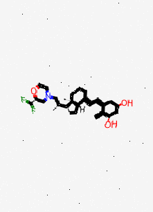 C=C1/C(=C\C=C2/CCC[C@]3(C)[C@@H]([C@H](C)CN4CCO[C@@H](C(F)F)C4)CC[C@@H]23)C[C@@H](O)C[C@@H]1O